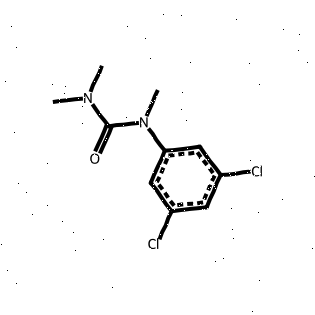 CN(C)C(=O)N(C)c1cc(Cl)cc(Cl)c1